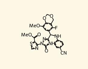 COC(=O)c1scnc1-n1nc(C(Nc2ccc(C#N)cc2)c2cc(OC)c3c(c2F)COCO3)[nH]c1=O